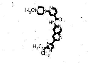 CN1CCN(c2cc(C(=O)Nc3cc4cc(-c5cnc(N(C)C)s5)cnc4cn3)ccn2)CC1